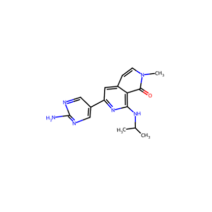 CC(C)Nc1nc(-c2cnc(N)nc2)cc2ccn(C)c(=O)c12